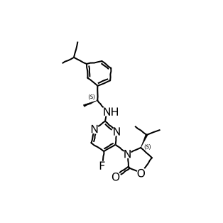 CC(C)c1cccc([C@H](C)Nc2ncc(F)c(N3C(=O)OC[C@@H]3C(C)C)n2)c1